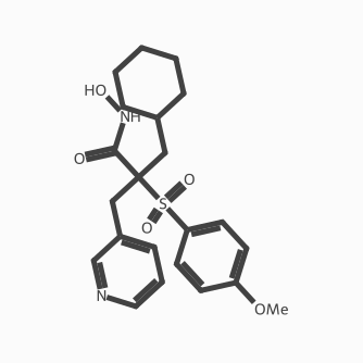 COc1ccc(S(=O)(=O)C(Cc2cccnc2)(CC2CCCCC2)C(=O)NO)cc1